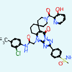 CS(=N)(=O)c1ccc(-c2nc3n(CC(=O)Nc4ccc(C(F)(F)F)cc4Cl)c4c(c(=O)n3n2)C2(CCC4)CCN(C(=O)c3ncccc3O)CC2)cc1